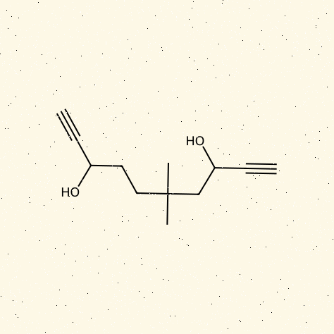 C#CC(O)CCC(C)(C)CC(O)C#C